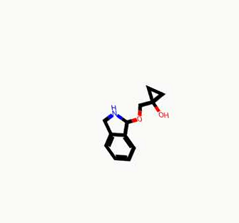 OC1(COC2NCc3ccccc32)CC1